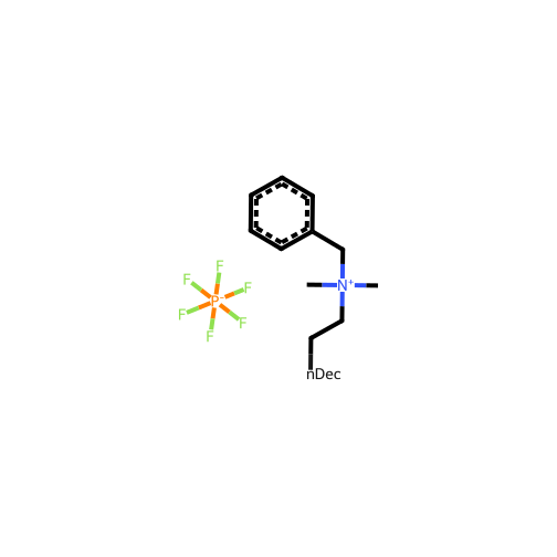 CCCCCCCCCCCC[N+](C)(C)Cc1ccccc1.F[P-](F)(F)(F)(F)F